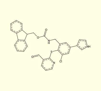 O=Cc1cccnc1Sc1c(Cl)cc(-c2cc[nH]c2)cc1CNC(=O)OCC1c2ccccc2-c2ccccc21